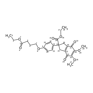 CCOC(=O)CCCOc1ccc(C2(C(=O)OCC)CC3=C(C2)C(=O)C(OC)=C(OC)C3=O)cc1